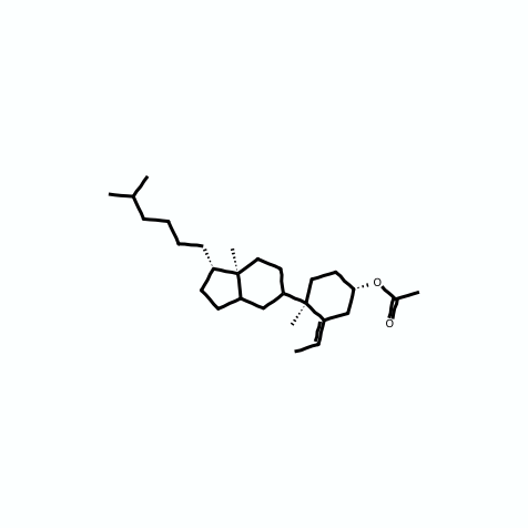 C/C=C1/C[C@@H](OC(C)=O)CC[C@]1(C)C1CC[C@@]2(C)C(CC[C@@H]2CCCCC(C)C)C1